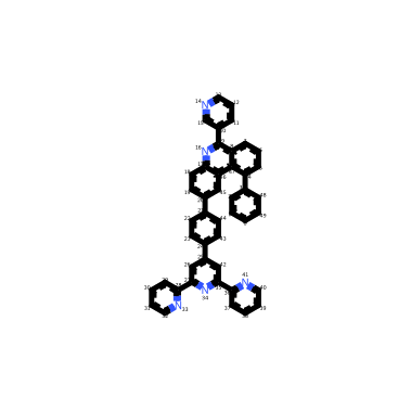 c1ccc(-c2cccc3c(-c4cccnc4)nc4ccc(-c5ccc(-c6cc(-c7ccccn7)nc(-c7ccccn7)c6)cc5)cc4c23)cc1